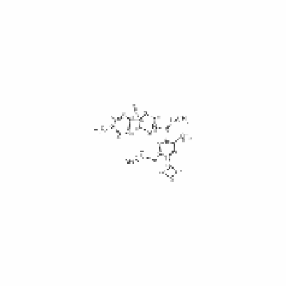 C=C=C(c1cc(CNNC)c(C2CCC2)cc1C)N1CCC(F)(c2ccc(C(F)(F)F)cc2)CC1